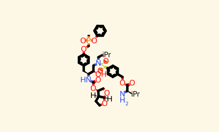 CC(C)CN(C[C@@H](O)[C@H](Cc1ccc(OCP(C)(=O)Oc2ccccc2)cc1)NC(=O)O[C@H]1CO[C@H]2OCC[C@H]21)S(=O)(=O)c1ccc(COC(=O)[C@H](N)C(C)C)cc1